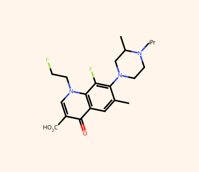 Cc1cc2c(=O)c(C(=O)O)cn(CCF)c2c(F)c1N1CCN(C(C)C)C(C)C1